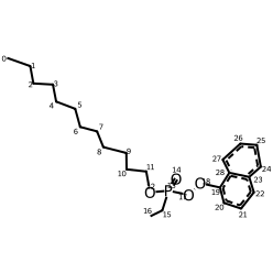 CCCCCCCCCCCCOP(=O)(CC)OOc1cccc2ccccc12